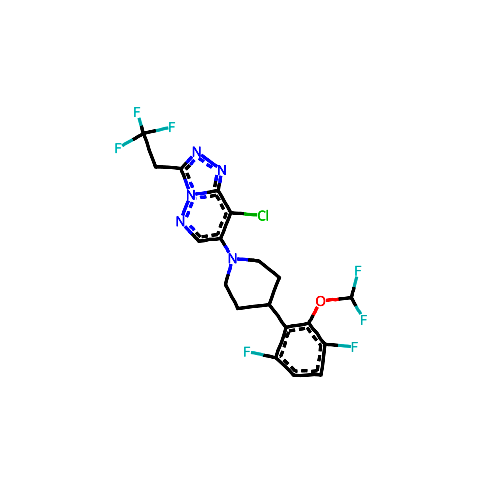 Fc1ccc(F)c(C2CCN(c3cnn4c(CC(F)(F)F)nnc4c3Cl)CC2)c1OC(F)F